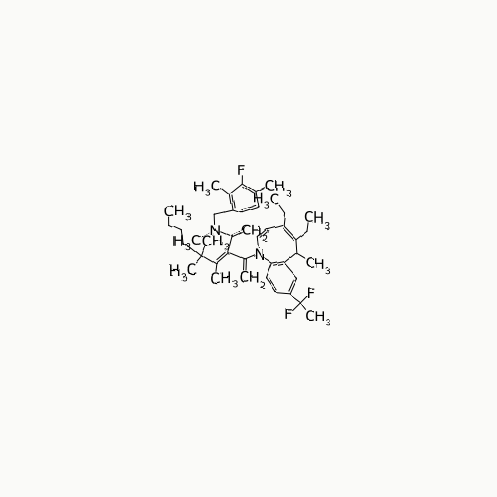 C=C(/C(C(=C)N1/C=C\C(CC)=C(\CC)C(C)c2cc(C(C)(F)F)ccc21)=C(/C)C(C)(C)CCCC)N(C)Cc1ccc(C)c(F)c1C